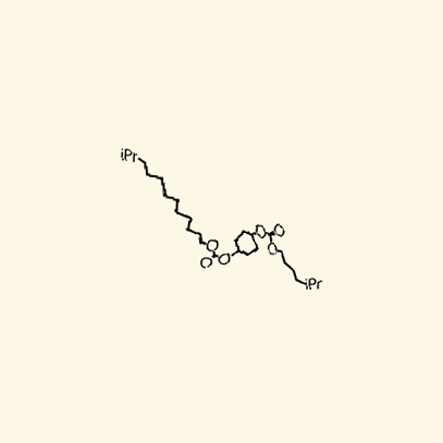 CC(C)CCCCCCCCCCOC(=O)OC1CCC(OC(=O)OCCCCC(C)C)CC1